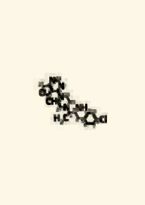 C=C([C@H](N)Cc1ccc(Cl)cc1)N1CCN(c2ncnc3c2[C@H](C)OC3)CC1